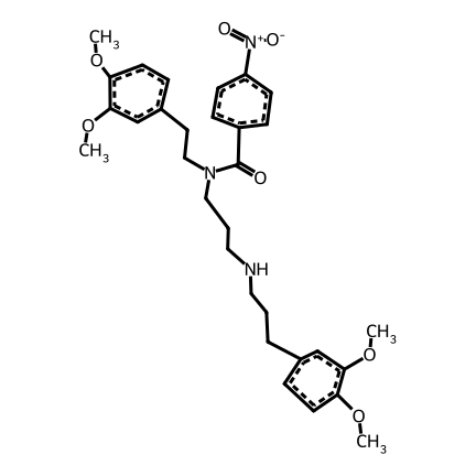 COc1ccc(CCCNCCCN(CCc2ccc(OC)c(OC)c2)C(=O)c2ccc([N+](=O)[O-])cc2)cc1OC